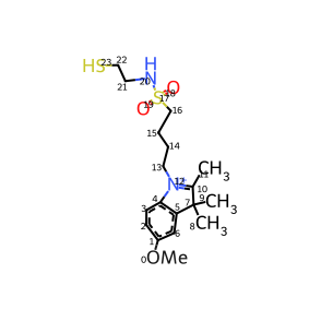 COc1ccc2c(c1)C(C)(C)C(C)=[N+]2CCCCS(=O)(=O)NCCS